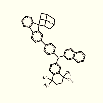 CC1(C)CCC(C)(C)c2cc(N(c3ccc(-c4ccc5c(c4)C4(c6ccccc6-5)C5CC6CC7CC4C75C6)cc3)c3ccc4ccccc4c3)ccc21